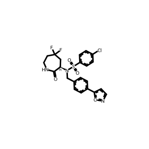 O=C1NCCC(F)(F)C[C@H]1N(Cc1ccc(-c2ccno2)cc1)S(=O)(=O)c1ccc(Cl)cc1